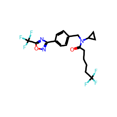 O=C(CCCCC(F)(F)F)N(Cc1ccc(-c2noc(C(F)(F)F)n2)cc1)C1CC1